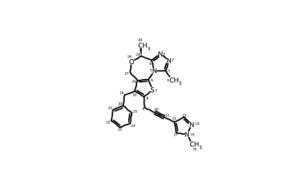 Cc1nnc2n1-c1sc(CC#Cc3cnn(C)c3)c(Cc3ccccc3)c1CO[C@H]2C